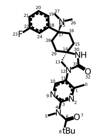 Cc1nc(N(C)C(=O)C(C)(C)C)ncc1N1C[C@]2(CC[C@](c3cccc(F)c3)(N(C)C)CC2)NC1=O